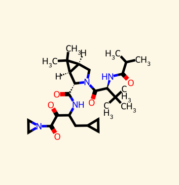 CC(C)C(=O)N[C@H](C(=O)N1C[C@H]2[C@@H]([C@H]1C(=O)NC(CC1CC1)C(=O)C(=O)N1CC1)C2(C)C)C(C)(C)C